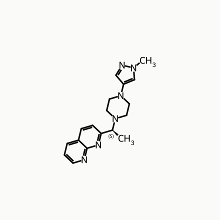 C[C@@H](c1ccc2cccnc2n1)N1CCN(c2cnn(C)c2)CC1